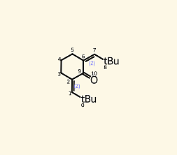 CC(C)(C)/C=C1/CCC/C(=C/C(C)(C)C)C1=O